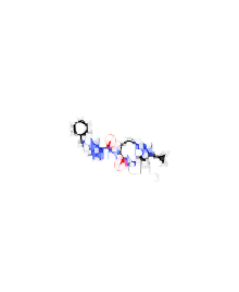 CN1C(=O)C(NC(=O)c2ncn(Cc3ccccc3)n2)CCCn2nc(C3CC3)cc21